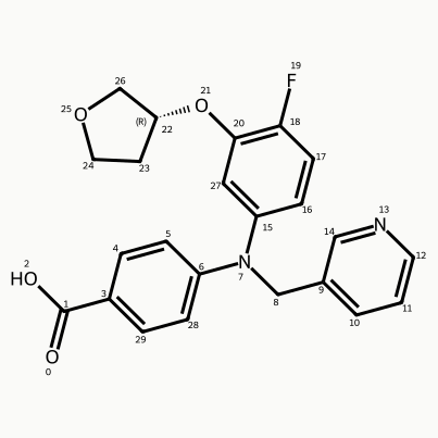 O=C(O)c1ccc(N(Cc2cccnc2)c2ccc(F)c(O[C@@H]3CCOC3)c2)cc1